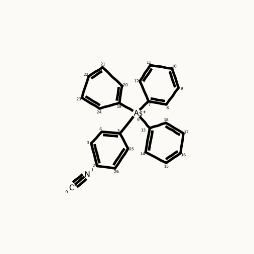 [C-]#N.c1ccc([As+](c2ccccc2)(c2ccccc2)c2ccccc2)cc1